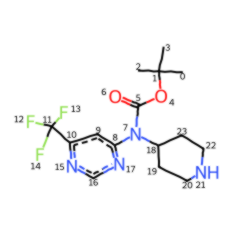 CC(C)(C)OC(=O)N(c1cc(C(F)(F)F)ncn1)C1CCNCC1